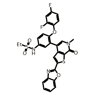 CCS(=O)(=O)Nc1ccc(Oc2ccc(F)cc2F)c(-c2cn(C)c(=O)c3sc(-c4nc5ccccc5o4)cc23)c1